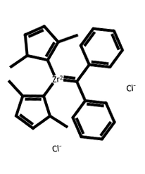 CC1=[C]([Zr+2]([C]2=C(C)C=CC2C)=[C](c2ccccc2)c2ccccc2)C(C)C=C1.[Cl-].[Cl-]